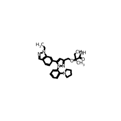 CCn1ncc2ccc(-c3cc(CO[C@](C)(CC)C(=O)O)nn3-c3ccccc3N3CCCC3)cc21